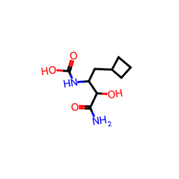 NC(=O)C(O)C(CC1CCC1)NC(=O)O